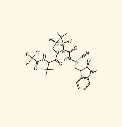 CC(C)(C)C(NC(=O)C(F)(F)Cl)C(=O)N1C[C@H]2[C@@H]([C@H]1C(=O)N[C@H](C#N)CC1C(=O)Nc3ccccc31)C2(C)C